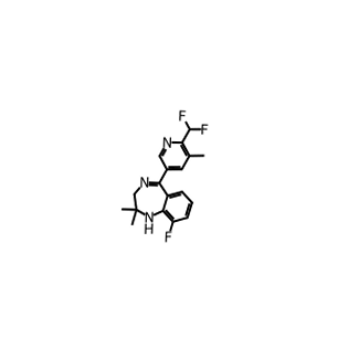 Cc1cc(C2=NCC(C)(C)Nc3c(F)cccc32)cnc1C(F)F